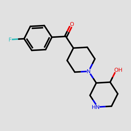 O=C(c1ccc(F)cc1)C1CCN(C2CNCCC2O)CC1